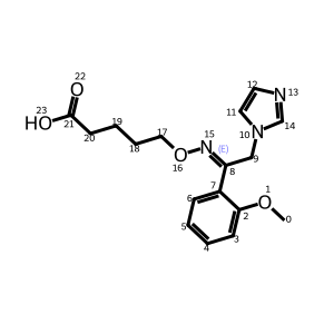 COc1ccccc1/C(Cn1ccnc1)=N\OCCCCC(=O)O